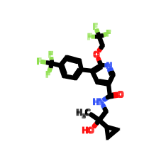 CC(O)(CNC(=O)c1cnc(OCC(F)(F)F)c(-c2ccc(C(F)(F)F)cc2)c1)C1CC1